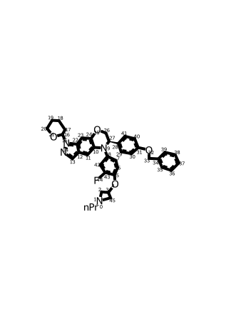 CCCN1CC(Oc2ccc(N3c4cc5cnn(C6CCCCO6)c5cc4OC[C@H]3c3ccc(OCc4ccccc4)cc3)cc2F)C1